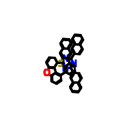 C1=Cc2oc3cccc(-c4cccc5c4sc4cc6ccccc6cc45)c3c2C(c2nc(-c3ccc4ccccc4c3)nc(-c3ccc4ccccc4c3)n2)C1